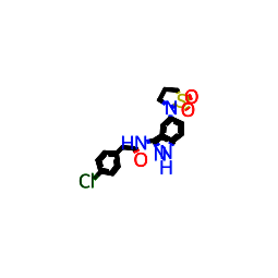 O=C(Cc1ccc(Cl)cc1)Nc1n[nH]c2ccc(N3CCCS3(=O)=O)cc12